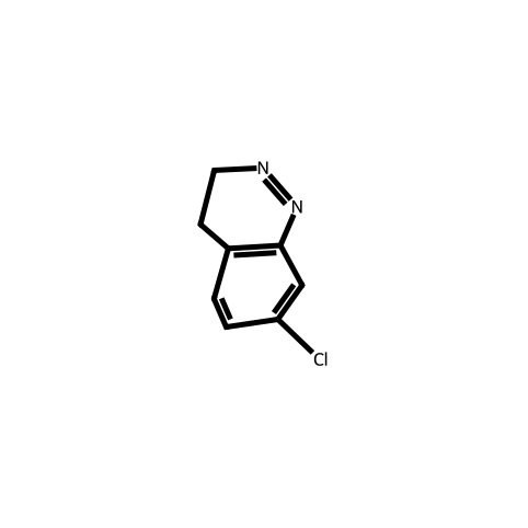 Clc1ccc2c(c1)N=NCC2